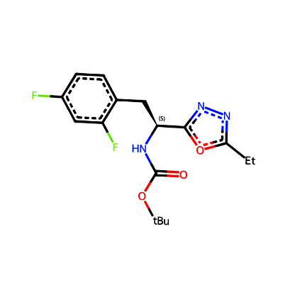 CCc1nnc([C@H](Cc2ccc(F)cc2F)NC(=O)OC(C)(C)C)o1